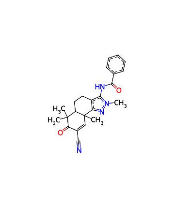 Cn1nc2c(c1NC(=O)c1ccccc1)CCC1C(C)(C)C(=O)C(C#N)=CC21C